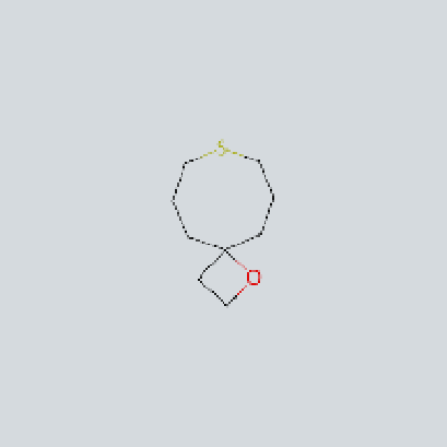 C1CSCCCC2(C1)CCO2